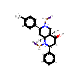 Cc1ccc([C@@H]2C[C@H]3[C@@H](CN2SI)C(=O)C[C@@H](c2ccccc2)N3SI)cc1